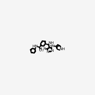 N=C(c1cccc(C(=O)Nc2ccccc2)c1)c1c(N)ncnc1NC1CC2CC1CN2